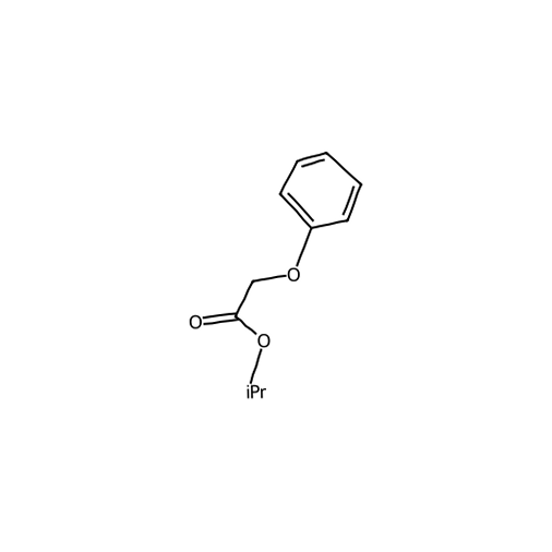 [CH2]C(C)OC(=O)COc1ccccc1